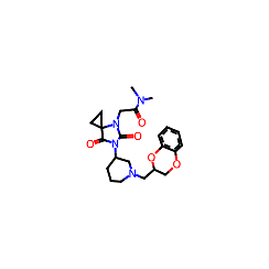 CN(C)C(=O)CN1C(=O)N(C2CCCN(CC3COc4ccccc4O3)C2)C(=O)C12CC2